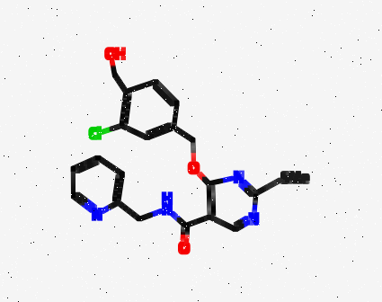 CSc1ncc(C(=O)NCc2ccccn2)c(OCc2ccc(CO)c(Cl)c2)n1